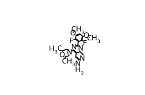 COc1cc(OC)c(F)c(-c2nc(N3CC(C)OC(C)C3)c3cc(N)ncc3n2)c1F